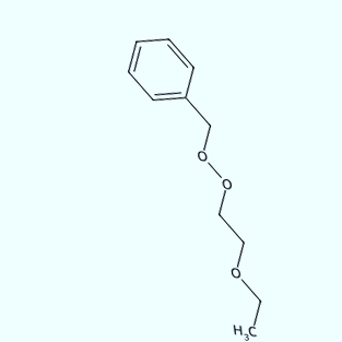 CCOCCOOCc1ccccc1